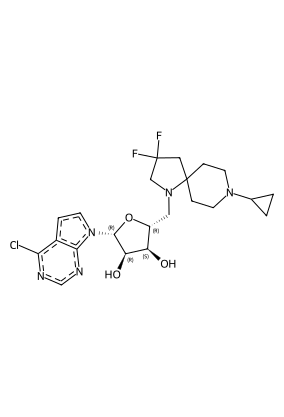 O[C@@H]1[C@H](O)[C@@H](CN2CC(F)(F)CC23CCN(C2CC2)CC3)O[C@H]1n1ccc2c(Cl)ncnc21